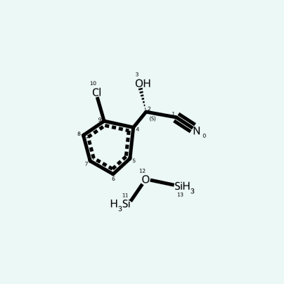 N#C[C@@H](O)c1ccccc1Cl.[SiH3]O[SiH3]